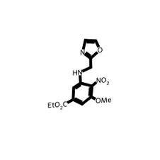 CCOC(=O)c1cc(NCc2ncco2)c([N+](=O)[O-])c(OC)c1